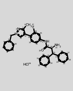 Cc1nn(Cc2ccccc2)cc1-c1ccc(NC(=O)[C@@H](N)C(c2ccccc2)c2ccccc2)cc1F.Cl